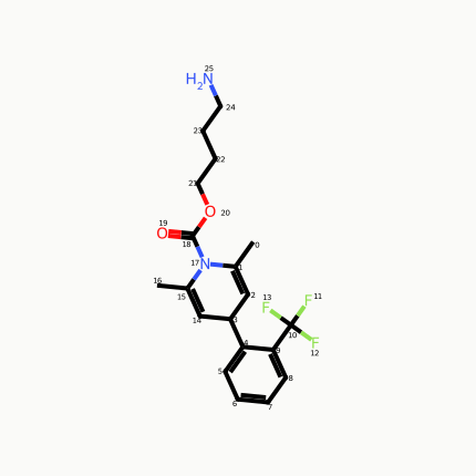 CC1=CC(c2ccccc2C(F)(F)F)C=C(C)N1C(=O)OCCCCN